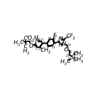 Cc1cc(OCC(C)(C)C(=O)O)ncc1-c1ccc(-c2nc(C(F)(F)F)n(COCC[Si](C)(C)C)n2)c(F)c1